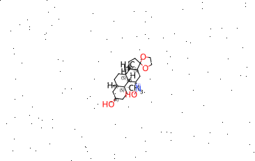 C[C@]12CC[C@@H](O)C[C@@H]1CC[C@@H]1[C@@H]2/C(=N\O)C[C@@]2(C)[C@H]1CCC21OCCO1